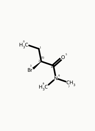 CC[C@H](Br)C(=O)N(C)C